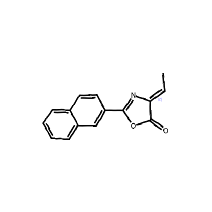 C/C=C1\N=C(c2ccc3ccccc3c2)OC1=O